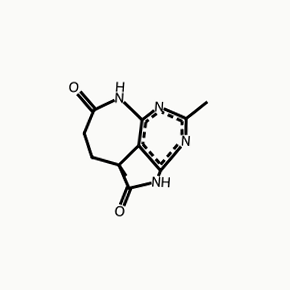 Cc1nc2c3c(n1)NC(=O)C3(C)CCC(=O)N2